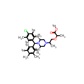 [2H]OC(=O)C(C)OCC(C)N1CC(C)N(C(c2c([2H])c([2H])c(Cl)c(C)c2[2H])c2c([2H])c([2H])c(C)c(C)c2C)C(C)C1